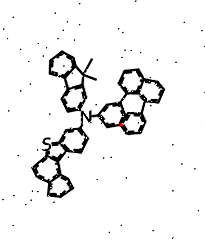 CC1(C)c2ccccc2-c2ccc(N(c3cccc(-c4cccc5cccc(-c6ccccc6)c45)c3)c3ccc4c(c3)sc3ccc5ccccc5c34)cc21